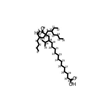 CCCCC(CC)CC(CC(CC)CCCC)(CC(CCCCCCCCCCCCC(=O)O)C(C)C)C(=O)O